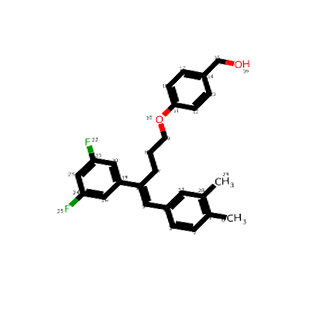 Cc1ccc(/C=C(\CCCOc2ccc(CO)cc2)c2cc(F)cc(F)c2)cc1C